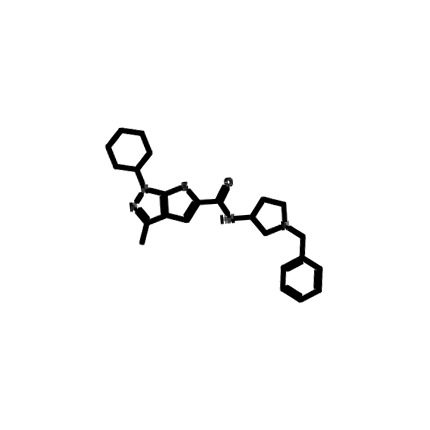 Cc1nn(C2CCCCC2)c2sc(C(=O)NC3CCN(Cc4ccccc4)C3)cc12